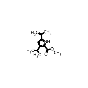 C=C(C)c1cc(C(C)C)c(C(=O)OC)[nH]1